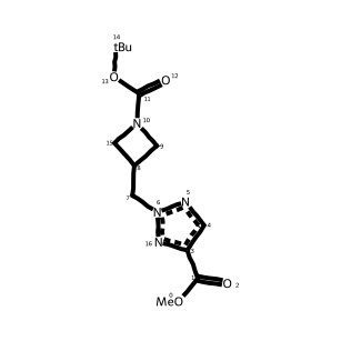 COC(=O)c1cnn(CC2CN(C(=O)OC(C)(C)C)C2)n1